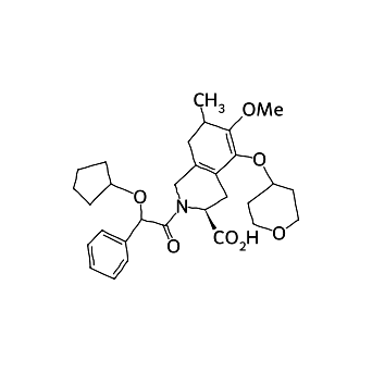 COC1=C(OC2CCOCC2)C2=C(CC1C)CN(C(=O)C(OC1CCCC1)c1ccccc1)[C@H](C(=O)O)C2